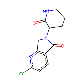 O=C1NCCCC1N1Cc2nc(Cl)ccc2C1=O